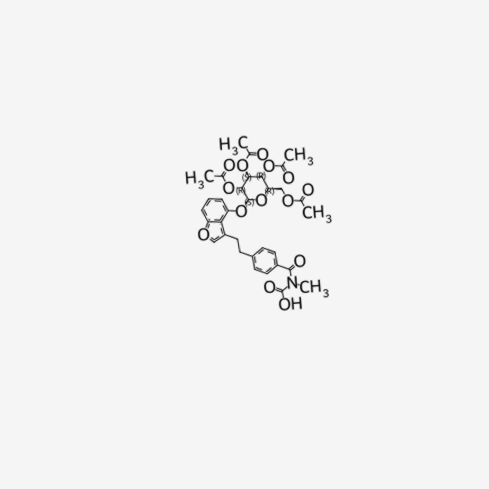 CC(=O)OC[C@H]1O[C@@H](Oc2cccc3occ(CCc4ccc(C(=O)N(C)C(=O)O)cc4)c23)[C@H](OC(C)=O)[C@@H](OC(C)=O)[C@@H]1OC(C)=O